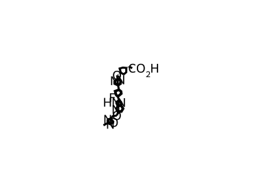 Cc1noc(COc2ccc3nc(-c4ccc(-c5cnc(O[C@H]6CC[C@@H](CC(=O)O)CC6)nc5)cc4F)[nH]c3n2)n1